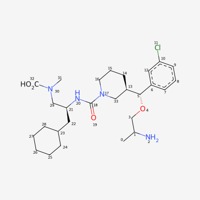 CC(N)CO[C@@H](c1cccc(Cl)c1)[C@@H]1CCCN(C(=O)N[C@@H](CC2CCCCC2)CN(C)C(=O)O)C1